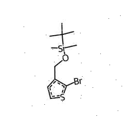 CC(C)(C)[Si](C)(C)OCc1ccsc1Br